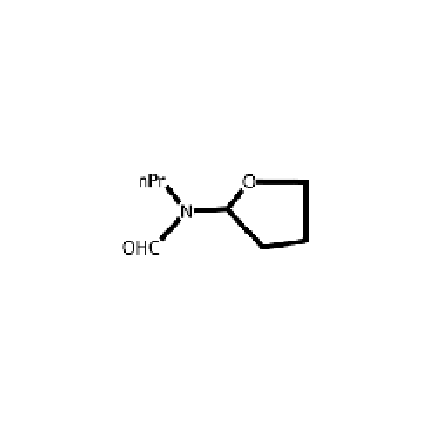 [CH2]CCN(C=O)C1CCCO1